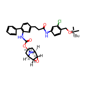 CCN1[C@@H]2C[C@@H](OC(=O)Nc3cc(CCC(=O)Nc4ccc(CO[Si](C)(C)C(C)(C)C)c(Cl)c4)ccc3-c3ccccc3)C[C@H]1[C@@H]1O[C@@H]12